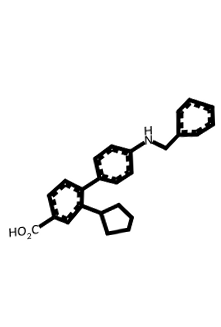 O=C(O)c1ccc(-c2ccc(NCc3ccccc3)cc2)c(C2CCCC2)c1